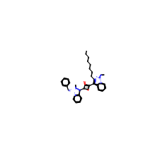 CCCCCCCCc1c(C2=C(O)C(C3C(C)=[N+](Cc4ccccc4)c4ccccc43)C2=O)c2ccccc2n1CC